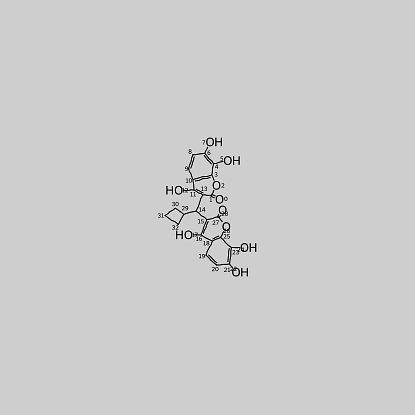 O=c1oc2c(O)c(O)ccc2c(O)c1C(c1c(O)c2ccc(O)c(O)c2oc1=O)C1CCC1